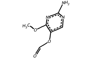 COc1nc(N)ncc1OC=O